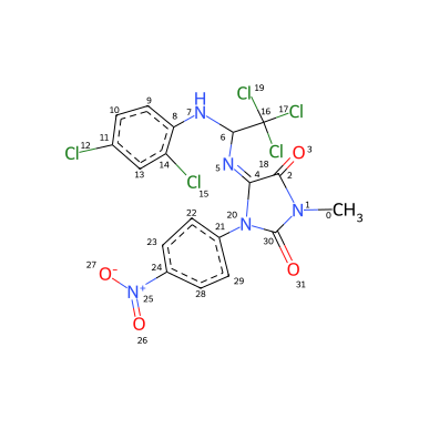 CN1C(=O)C(=NC(Nc2ccc(Cl)cc2Cl)C(Cl)(Cl)Cl)N(c2ccc([N+](=O)[O-])cc2)C1=O